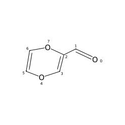 O=CC1=COC=CO1